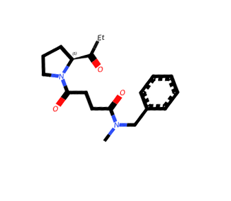 CCC(=O)[C@@H]1CCCN1C(=O)CCC(=O)N(C)Cc1ccccc1